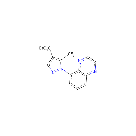 CCOC(=O)c1cnn(-c2cccc3nccnc23)c1C(F)(F)F